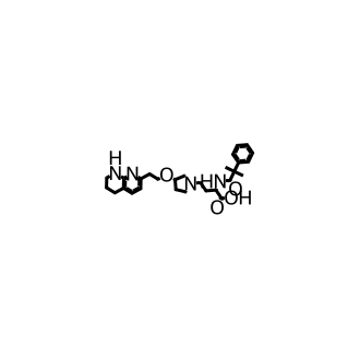 CC(C)(C(=O)NC(CCN1CCC(OCCc2ccc3c(n2)NCCC3)C1)C(=O)O)c1ccccc1